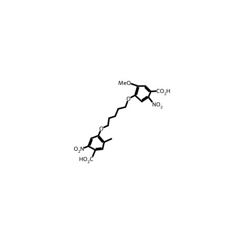 COc1cc(C(=O)O)c([N+](=O)[O-])cc1OCCCCCOc1cc([N+](=O)[O-])c(C(=O)O)cc1C